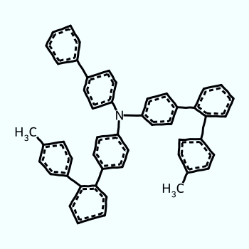 Cc1ccc(-c2ccccc2-c2ccc(N(c3ccc(-c4ccccc4)cc3)c3ccc(-c4ccccc4-c4ccc(C)cc4)cc3)cc2)cc1